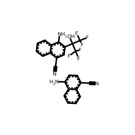 N#Cc1cc(C(O)(C(F)(F)F)C(F)(F)F)c(N)c2ccccc12.N#Cc1ccc(N)c2ccccc12